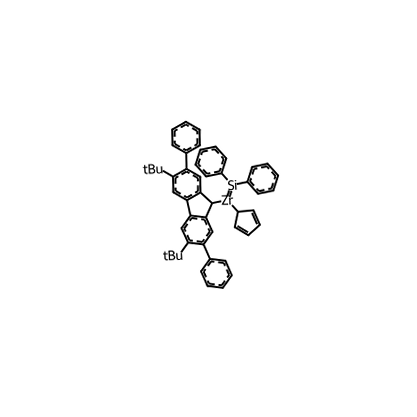 CC(C)(C)c1cc2c(cc1-c1ccccc1)[CH]([Zr]([CH]1C=CC=C1)=[Si](c1ccccc1)c1ccccc1)c1cc(-c3ccccc3)c(C(C)(C)C)cc1-2